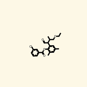 CCOCC(C)C(C=O)c1cc(C)cc(C)c1OC(=O)c1cccc(Cl)c1